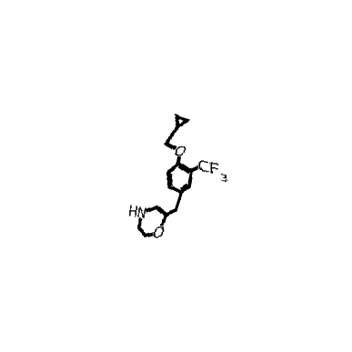 FC(F)(F)c1cc(CC2CNCCO2)ccc1OCC1CC1